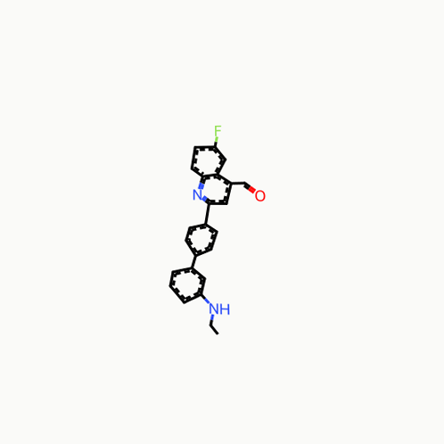 CCNc1cccc(-c2ccc(-c3cc(C=O)c4cc(F)ccc4n3)cc2)c1